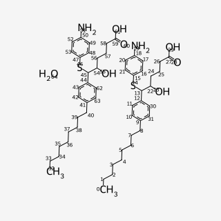 CCCCCCCCCc1ccc(C(Sc2ccc(N)cc2)C(O)CCCC(=O)O)cc1.CCCCCCCCCc1ccc(C(Sc2ccc(N)cc2)C(O)CCCC(=O)O)cc1.O